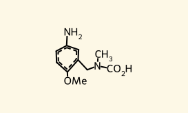 COc1ccc(N)cc1CN(C)C(=O)O